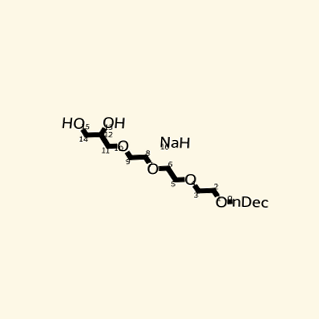 CCCCCCCCCCOCCOCCOCCOCC(O)CO.[NaH]